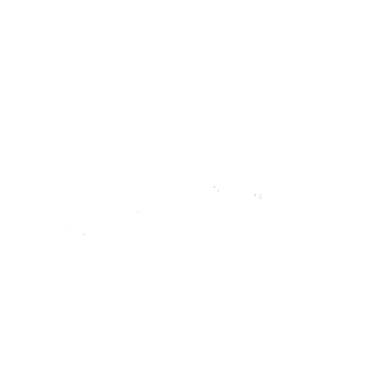 O=S(=O)(c1ccccc1Cl)n1cc(C(F)F)c2c(N3CCNCC3)cc(Cl)cc21